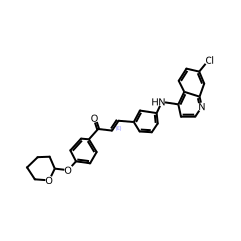 O=C(/C=C/c1cccc(Nc2ccnc3cc(Cl)ccc23)c1)c1ccc(OC2CCCCO2)cc1